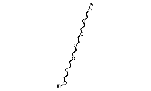 CC(C)OCCOCCOCCOCCOCCOCCOC(C)C